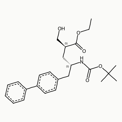 CCOC(=O)[C@H](CO)C[C@@H](Cc1ccc(-c2ccccc2)cc1)NC(=O)OC(C)(C)C